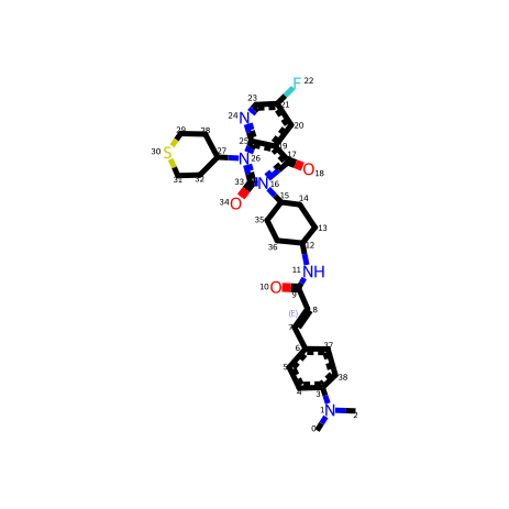 CN(C)c1ccc(/C=C/C(=O)NC2CCC(n3c(=O)c4cc(F)cnc4n(C4CCSCC4)c3=O)CC2)cc1